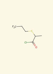 CC(SCCC(F)(F)F)C(=O)Cl